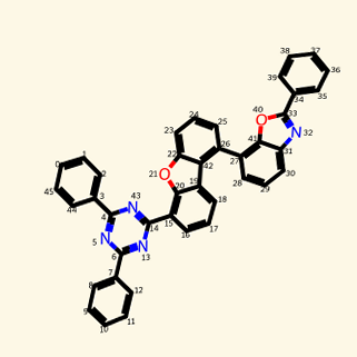 c1ccc(-c2nc(-c3ccccc3)nc(-c3cccc4c3oc3cccc(-c5cccc6nc(-c7ccccc7)oc56)c34)n2)cc1